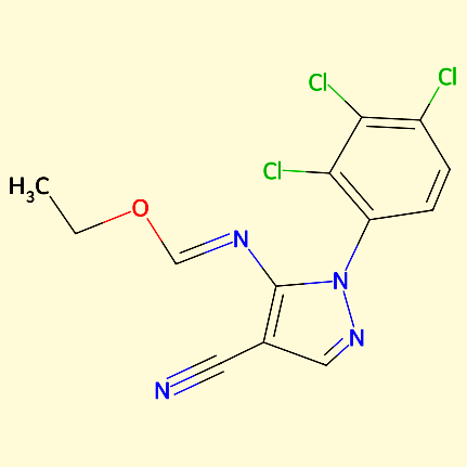 CCOC=Nc1c(C#N)cnn1-c1ccc(Cl)c(Cl)c1Cl